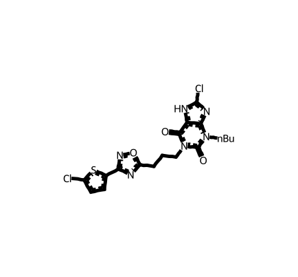 CCCCn1c(=O)n(CCCc2nc(-c3ccc(Cl)s3)no2)c(=O)c2[nH]c(Cl)nc21